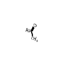 C[C]=O.[Au]